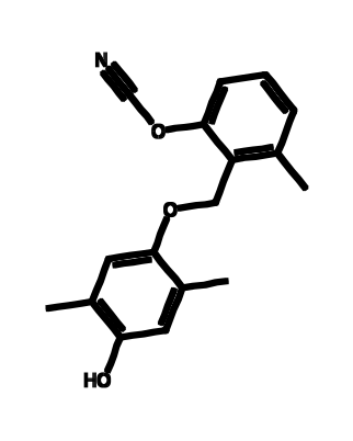 Cc1cc(OCc2c(C)cccc2OC#N)c(C)cc1O